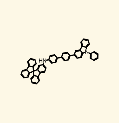 c1ccc(-n2c3ccccc3c3cc(-c4ccc(-c5ccc(Nc6ccc7c(c6)C6(c8ccccc8-c8ccccc86)c6ccccc6-7)cc5)cc4)ccc32)cc1